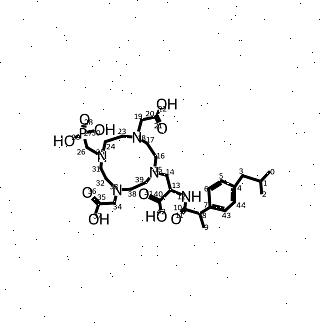 CC(C)Cc1ccc(C(C)C(=O)NC(CN2CCN(CC(=O)O)CCN(CP(=O)(O)O)CCN(CC(=O)O)CC2)C(=O)O)cc1